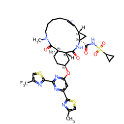 Cc1csc(-c2cc(O[C@H]3CC[C@H]4C(=O)N(C)CCCC/C=C\[C@@H]5C[C@@]5(C(=O)NS(=O)(=O)C5CC5)NC(=O)[C@@H]4C3)nc(-c3nc(C(F)(F)F)cs3)n2)n1